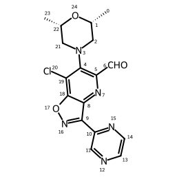 C[C@@H]1CN(c2c(C=O)nc3c(-c4cnccn4)noc3c2Cl)C[C@H](C)O1